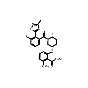 COC(=O)c1c(OC)ccnc1O[C@@H]1CC[C@@H](C)N(C(=O)c2cccc(F)c2-c2nc(C)no2)C1